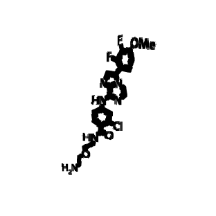 COc1ccc(-c2cnc3c(Nc4ccc(C(=O)NCCOCCN)c(Cl)c4)nccn23)c(F)c1F